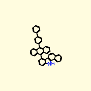 c1ccc(-c2ccc(-c3c4ccccc4c(-c4cccc5[nH]c6c7ccccc7ccc6c45)c4ccccc34)cc2)cc1